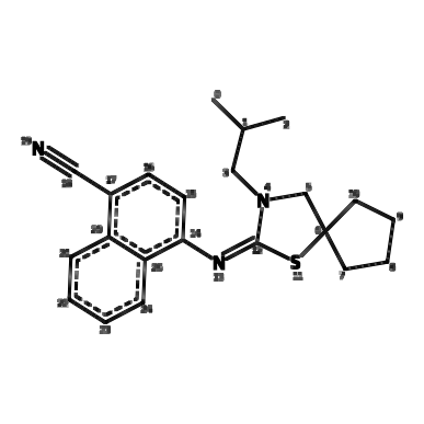 CC(C)CN1CC2(CCCC2)SC1=Nc1ccc(C#N)c2ccccc12